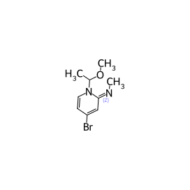 C/N=c1/cc(Br)ccn1C(C)OC